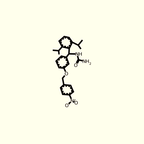 CC(C)c1cccc(C(C)C)c1C(NC(N)=O)c1cccc(OCc2ccc([N+](=O)[O-])cc2)c1